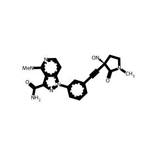 CNc1nccc2c1c(C(N)=O)nn2-c1cccc(C#C[C@]2(N=O)CCN(C)C2=O)c1